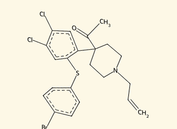 C=CCN1CCC(C(C)=O)(c2cc(Cl)c(Cl)cc2Sc2ccc(Br)cc2)CC1